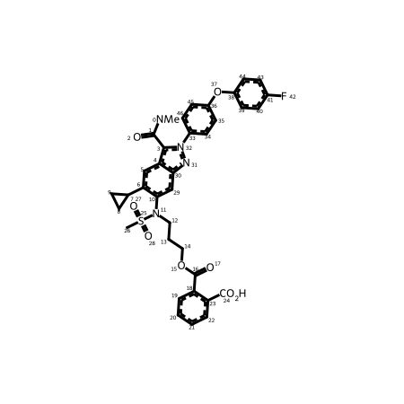 CNC(=O)c1c2cc(C3CC3)c(N(CCCOC(=O)c3ccccc3C(=O)O)S(C)(=O)=O)cc2nn1-c1ccc(Oc2ccc(F)cc2)cc1